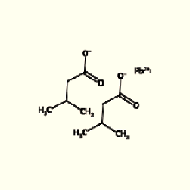 CC(C)CC(=O)[O-].CC(C)CC(=O)[O-].[Pb+2]